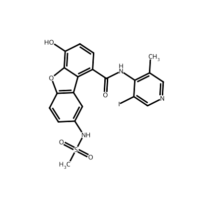 Cc1cncc(I)c1NC(=O)c1ccc(O)c2oc3ccc(NS(C)(=O)=O)cc3c12